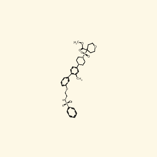 COC(=O)C1(S(=O)(=O)N2CCC(c3ccc(-c4cccc(OCCNS(=O)(=O)c5ccccc5)c4)c(C)c3)CC2)CCOCC1